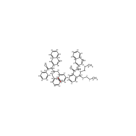 CCCCN(CCCC)c1ccccc1C(=O)Nc1cnc2ccccc2c1.O=C(c1ccccc1)N(c1cnc2ccccc2c1)N(Cc1ccccc1)Cc1ccccc1